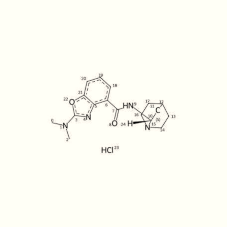 CN(C)c1nc2c(C(=O)N[C@@H]3CC4CCN3CC4)cccc2o1.Cl